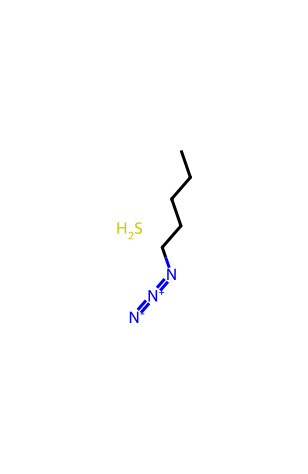 CCCCCN=[N+]=[N-].S